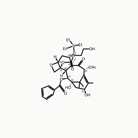 CC[Si](CC)(CC)O[C@H]1C[C@H]2OC[C@@]2(OC(=O)NCCO)[C@H]2[C@H](OC(=O)c3ccccc3)[C@]3(O)C[C@H](O)C(C)=C([C@@H](OC(C)=O)C(=O)[C@]12C)C3(C)C